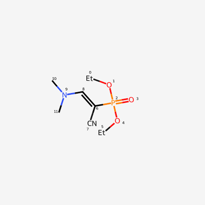 CCOP(=O)(OCC)C(C#N)=CN(C)C